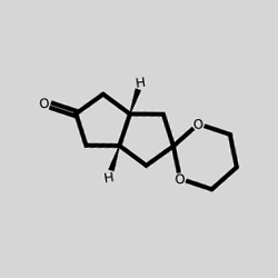 O=C1C[C@@H]2CC3(C[C@@H]2C1)OCCCO3